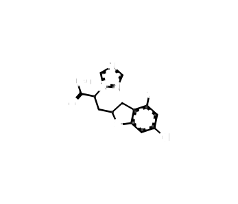 CC(C)(C)C(=O)C(CC1Cc2c(Cl)cc(Cl)cc2O1)n1cncn1